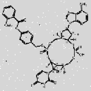 COc1ccccc1C(=O)Oc1ccc(CSP2(=O)OC[C@H]3O[C@@H](n4cnc5c(N)ncnc54)[C@H](F)[C@@H]3OP(=O)(O)OC[C@H]3O[C@@H](n4ccc(=O)[nH]c4=O)[C@H](O2)[C@@H]3F)cc1